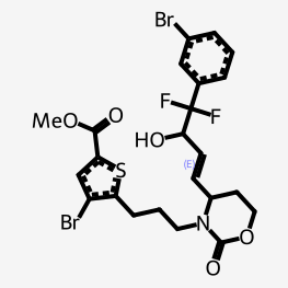 COC(=O)c1cc(Br)c(CCCN2C(=O)OCCC2/C=C/C(O)C(F)(F)c2cccc(Br)c2)s1